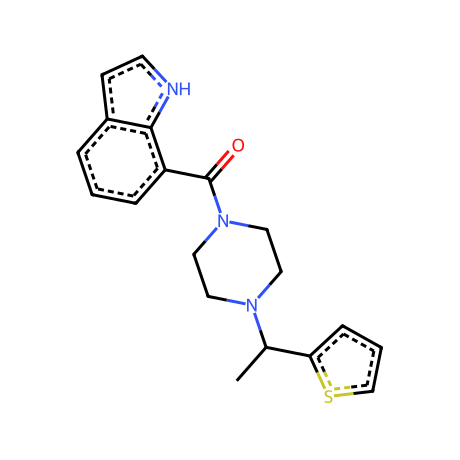 CC(c1cccs1)N1CCN(C(=O)c2cccc3cc[nH]c23)CC1